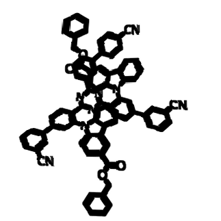 N#Cc1ccc(-c2cccc(-c3nc(-c4ccc(-c5cccc(C#N)c5)cc4-n4c5ccccc5c5cc(C(=O)OCc6ccccc6)ccc54)nc(-c4ccc(-c5cccc(C#N)c5)cc4-n4c5ccccc5c5cc(C(=O)OCc6ccccc6)ccc54)n3)c2)cc1